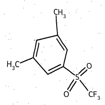 Cc1[c]c(C)cc(S(=O)(=O)C(F)(F)F)c1